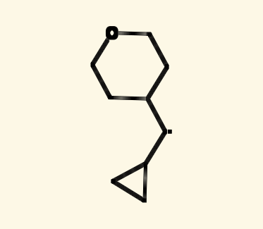 [CH](C1CCOCC1)C1CC1